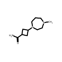 CN1CCCN(C2CC(C(N)=O)C2)CC1